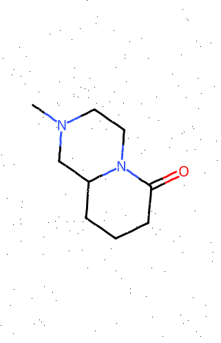 CN1CCN2C(=O)CCCC2C1